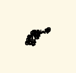 COc1cc2c(cc1Oc1ccc(C(=O)Nc3c(OC)nc(NCCCN4CCOCC4)nc3OC)o1)C(C)(C)C=C2